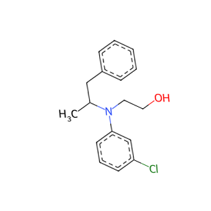 CC(Cc1ccccc1)N(CCO)c1cccc(Cl)c1